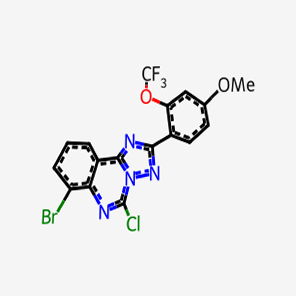 COc1ccc(-c2nc3c4cccc(Br)c4nc(Cl)n3n2)c(OC(F)(F)F)c1